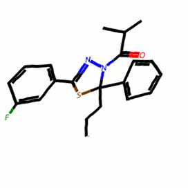 [CH2]CCC1(c2ccccc2)SC(c2cccc(F)c2)=NN1C(=O)C(C)C